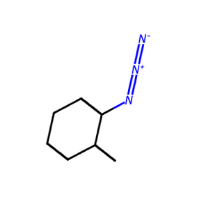 CC1CCCCC1N=[N+]=[N-]